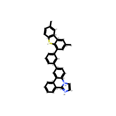 Cc1ccc2sc3c(-c4cccc(-c5ccc6c(c5)c5ccccc5c5nccn65)c4)cc(C)cc3c2c1